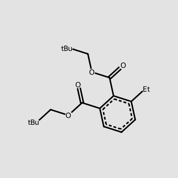 CCc1cccc(C(=O)OCC(C)(C)C)c1C(=O)OCC(C)(C)C